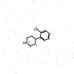 [C-]#[N+]c1ccccc1N1CCNCC1